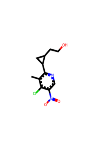 Cc1c(C2CC2CCO)ncc([N+](=O)[O-])c1Cl